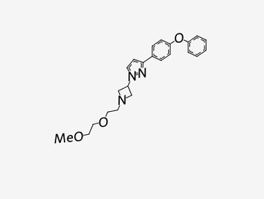 COCCOCCN1CC(n2ccc(-c3ccc(Oc4ccccc4)cc3)n2)C1